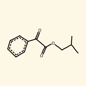 CC(C)COC(=O)C(=O)c1ccccc1